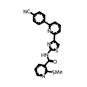 CSc1ncccc1C(=O)Nc1nc(-c2cccc(-c3ccc(C#N)cc3)n2)cs1